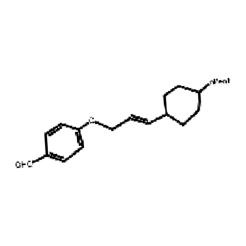 CCCCCC1CCC(C=CCOc2ccc(C=O)cc2)CC1